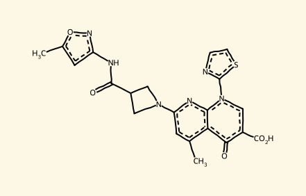 Cc1cc(NC(=O)C2CN(c3cc(C)c4c(=O)c(C(=O)O)cn(-c5nccs5)c4n3)C2)no1